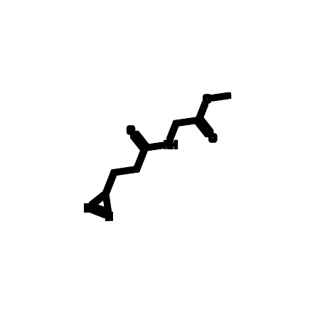 COC(=O)CNC(=O)CCC1N=N1